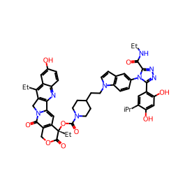 CCNC(=O)c1nnc(-c2cc(C(C)C)c(O)cc2O)n1-c1ccc2c(ccn2CCC2CCN(C(=O)O[C@]3(CC)C(=O)OCc4c3cc3n(c4=O)Cc4c-3nc3ccc(O)cc3c4CC)CC2)c1